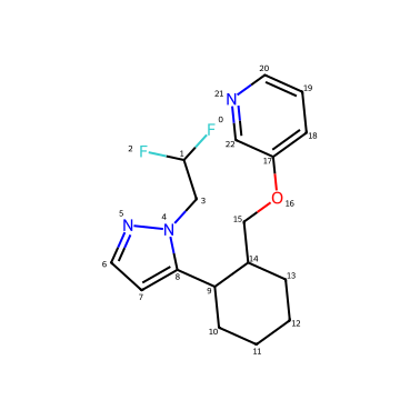 FC(F)Cn1nccc1C1CCCCC1COc1cccnc1